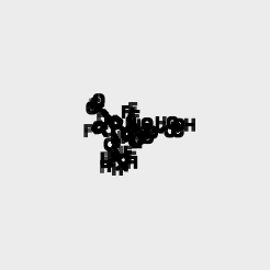 CC(C)(C#Cc1ccc(-c2ccc(Cl)c3c(N(C(=O)OCCCOP(=O)(O)O)S(C)(=O)=O)nn(CC(F)(F)F)c23)c([C@H](Cc2cc(F)cc(F)c2)NC(=O)Cn2nc(C(F)(F)F)c3c2C(F)(F)[C@@H]2C[C@H]32)n1)S(C)(=O)=O